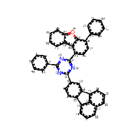 c1ccc(-c2nc(-c3ccc4c(c3)-c3cccc5cccc-4c35)nc(-c3ccc(-c4ccccc4)c4oc5ccccc5c34)n2)cc1